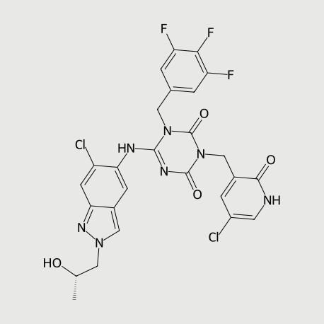 C[C@H](O)Cn1cc2cc(Nc3nc(=O)n(Cc4cc(Cl)c[nH]c4=O)c(=O)n3Cc3cc(F)c(F)c(F)c3)c(Cl)cc2n1